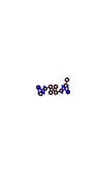 c1ccc(-c2ccc(N(c3ccccc3)c3ccc(-c4cccc5c4-c4ccccc4C54c5ccccc5-c5c(-c6ccc(N(c7ccccc7)c7ccccc7)cc6)cccc54)cc3)cc2)cc1